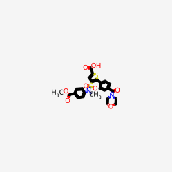 COC(=O)c1ccc(N(C)S(=O)(=O)c2cc(C(=O)O)sc2-c2ccc(C(=O)N3CCOCC3)cc2)cc1